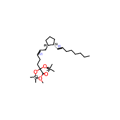 CCCCCC/C=C/[C@H]1CCC[C@@H]1C/C=C\CCC(O[Si](C)(C)C)(O[Si](C)(C)C)C(=O)OC